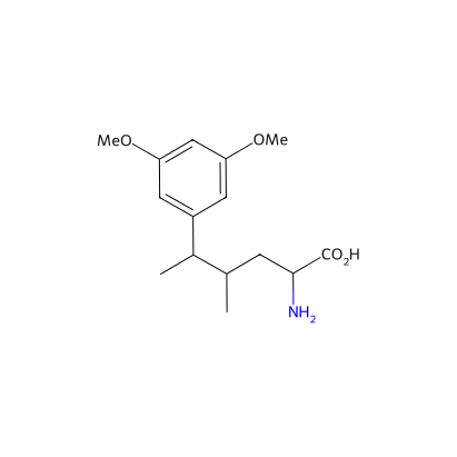 COc1cc(OC)cc(C(C)C(C)CC(N)C(=O)O)c1